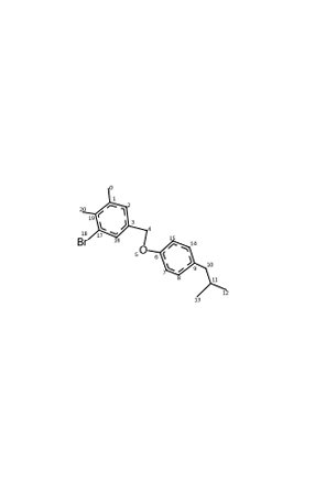 Cc1cc(COc2ccc(CC(C)C)cc2)cc(Br)c1C